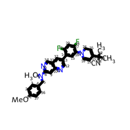 COc1ccc(CN(C)c2cc3ncc(-c4cc(N5C=CC(C(C)(C)C#N)=CC5)c(F)cc4F)cc3cn2)cc1